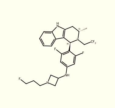 C[C@H]1Cc2[nH]c3ccccc3c2[C@H](c2c(F)cc(NC3CN(CCCF)C3)cc2F)N1CC(F)(F)F